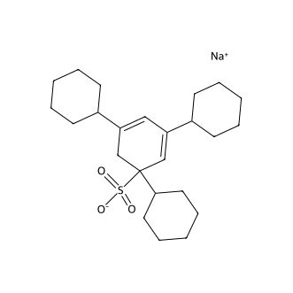 O=S(=O)([O-])C1(C2CCCCC2)C=C(C2CCCCC2)C=C(C2CCCCC2)C1.[Na+]